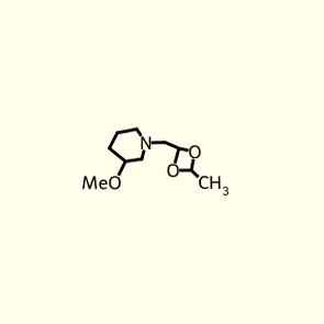 COC1CCCN(CC2OC(C)O2)C1